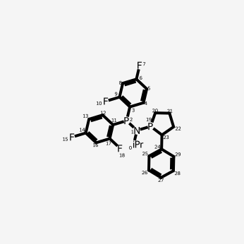 CC(C)N(P(c1ccc(F)cc1F)c1ccc(F)cc1F)P1CCCC1c1ccccc1